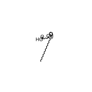 CCCCCCCCCCCCCCCCCC(Sc1ccccc1)C(O)CCCC(=O)O